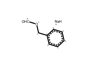 O=COCc1ccccc1.[NaH]